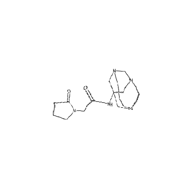 O=C(CN1CCCC1=O)NC12CN3CN(CN(C3)C1)C2